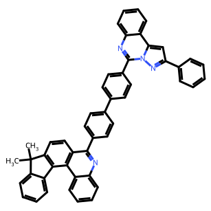 CC1(C)c2ccccc2-c2c1ccc1c(-c3ccc(-c4ccc(-c5nc6ccccc6c6cc(-c7ccccc7)nn56)cc4)cc3)nc3ccccc3c21